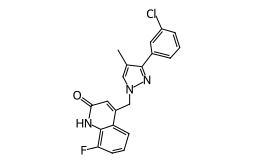 Cc1cn(Cc2cc(=O)[nH]c3c(F)cccc23)nc1-c1cccc(Cl)c1